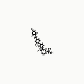 Cn1c2c(c3ccc(-n4ccc(OCc5ccc(F)cc5)cc4=O)nc31)CN(C(=O)O)CCC2